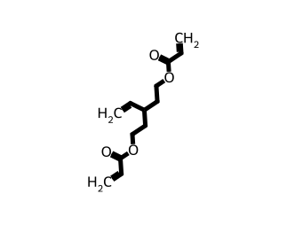 C=CC(=O)OCCC(C=C)CCOC(=O)C=C